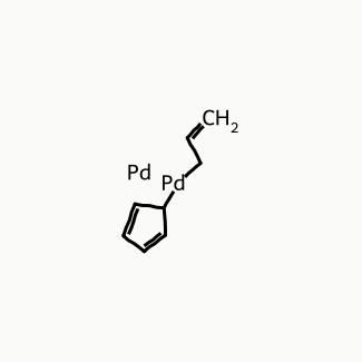 C=C[CH2][Pd][CH]1C=CC=C1.[Pd]